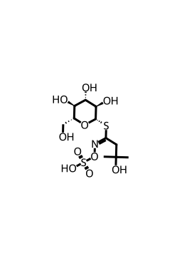 CC(C)(O)CC(=NOS(=O)(=O)O)S[C@@H]1O[C@H](CO)[C@@H](O)[C@H](O)[C@H]1O